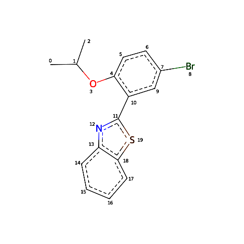 CC(C)Oc1ccc(Br)cc1-c1nc2ccccc2s1